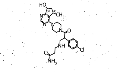 C[C@@H]1C[C@H](O)c2ncnc(N3CCN(C(=O)C(CNCCC(N)=O)c4ccc(Cl)cc4)CC3)c21